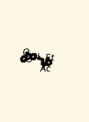 CCc1cccc2c(C(C)=O)cn(CCCN3CCC4(CC3)CC(=O)c3ccccc3O4)c12